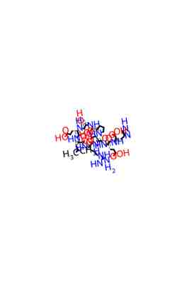 CC(C)C[C@H](NC(=O)[C@H](CCC(=O)O)NC(=O)[C@H](CO)NC(=O)[C@@H]1CCCN1)C(=O)N[C@@H](CCCNC(=N)N)C(=O)N[C@@H](CC(=O)O)C(=O)N[C@@H](CCC(=O)O)C(=O)N[C@@H](Cc1c[nH]cn1)C(=O)O